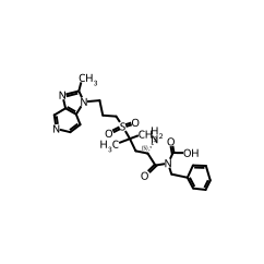 Cc1nc2cnccc2n1CCCS(=O)(=O)C(C)(C)C[C@H](N)C(=O)N(Cc1ccccc1)C(=O)O